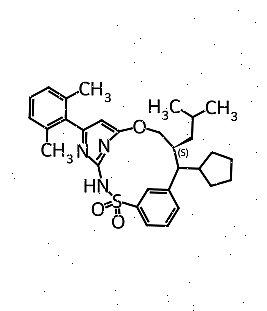 Cc1cccc(C)c1-c1cc2nc(n1)NS(=O)(=O)c1cccc(c1)C(C1CCCC1)[C@H](CC(C)C)CO2